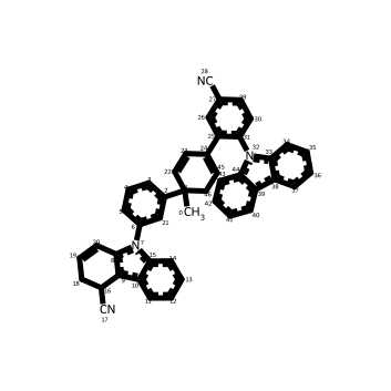 CC1(c2cccc(-n3c4c(c5ccccc53)C(C#N)CC=C4)c2)C=CC(c2cc(C#N)ccc2-n2c3ccccc3c3ccccc32)=CC1